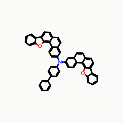 c1ccc(-c2ccc(N(c3ccc4c(ccc5ccc6c7ccccc7oc6c54)c3)c3ccc4c(ccc5ccc6c7ccccc7oc6c54)c3)cc2)cc1